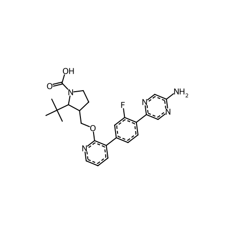 CC(C)(C)C1C(COc2ncccc2-c2ccc(-c3cnc(N)cn3)c(F)c2)CCN1C(=O)O